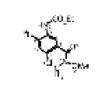 CCOC(=O)Nc1cc(C(=O)N(C)OC)c(Cl)cc1F